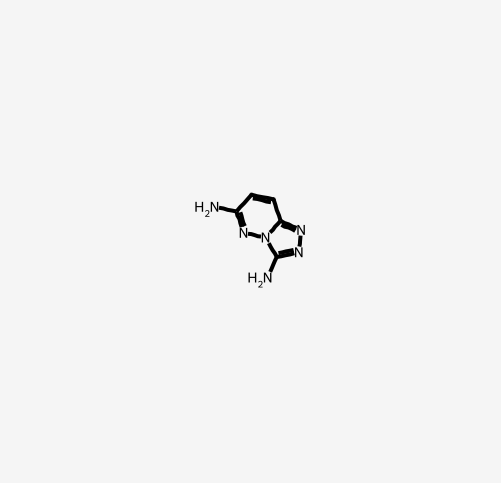 Nc1ccc2nnc(N)n2n1